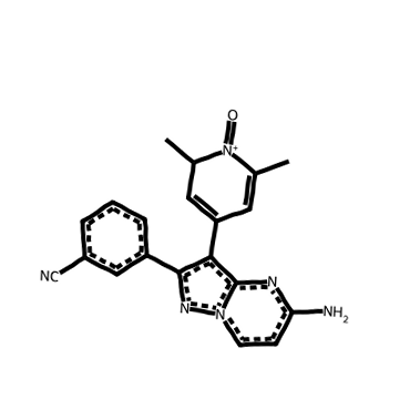 CC1=CC(c2c(-c3cccc(C#N)c3)nn3ccc(N)nc23)=CC(C)[N+]1=O